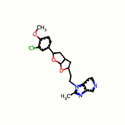 COc1ccc(C2CC3CC(CCn4c(C)nc5cnccc54)OC3O2)cc1Cl